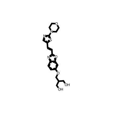 OCC(CO)COc1ccc2nc(/C=C/c3cnc(N4CCOCC4)s3)oc2c1